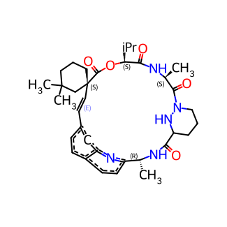 CC(C)[C@@H]1OC(=O)[C@@]2(/C=C/c3ccc4ccc(nc4c3)[C@@H](C)NC(=O)C3CCCN(N3)C(=O)[C@H](C)NC1=O)CCCC(C)(C)C2